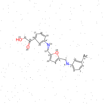 CC(=O)c1cccc(N=Cc2ccc(C=Nc3cccc(C(=O)CO)c3)o2)c1